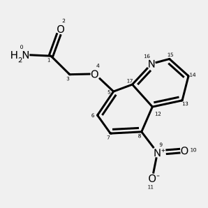 NC(=O)COc1ccc([N+](=O)[O-])c2cccnc12